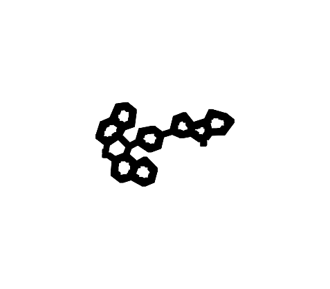 c1ccc2c3c(ccc2c1)Sc1ccc2ccccc2c1C3c1ccc(-c2ccc3c(c2)sc2ccccc23)cc1